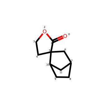 O=C1OCCC12CC1C[CH]C2C1